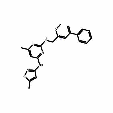 C=C(/C=C(/CNc1nc(C)cc(Nc2cc(C)on2)n1)OC)c1ccccc1